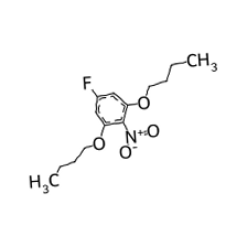 CCCCOc1cc(F)cc(OCCCC)c1[N+](=O)[O-]